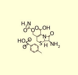 Cc1ccc(S(=O)(=O)O)cc1.NC(=O)OCC1=C(C(=O)O)N2C(=O)[C@@H](N)[C@H]2SC1